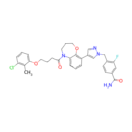 Cc1c(Cl)cccc1OCCCC(=O)N1CCCOc2c(-c3cnn(Cc4ccc(C(N)=O)cc4F)c3)cccc21